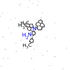 Cc1ccc(-c2ccc(N(c3ccc(C)cc3)c3ccc4ccc5cccc6ccc3c4c56)c(-c3ccc(C)cc3)c2N)cc1